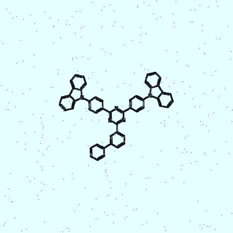 c1ccc(-c2cccc(-c3nc(-c4ccc(-n5c6ccccc6c6ccccc65)cc4)nc(-c4ccc(-n5c6ccccc6c6ccccc65)cc4)n3)c2)cc1